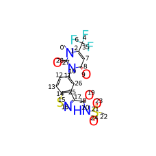 Cn1c(C(F)(F)F)cc(=O)n(-c2ccc3snc(C(=O)NS(C)(=O)=O)c3c2)c1=O